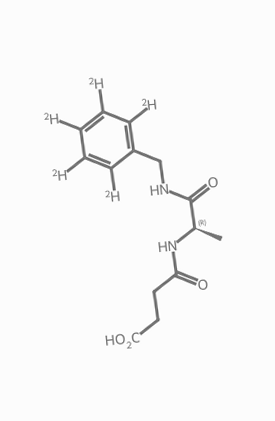 [2H]c1c([2H])c([2H])c(CNC(=O)[C@@H](C)NC(=O)CCC(=O)O)c([2H])c1[2H]